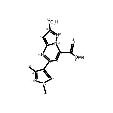 COC(=O)c1cc(-c2cn(C)nc2C)nc2cc(C(=O)O)nn12